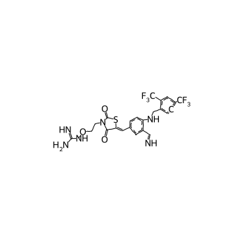 N=Cc1cc(/C=C2\SC(=O)N(CCONC(=N)N)C2=O)ccc1NCc1ccc(C(F)(F)F)cc1C(F)(F)F